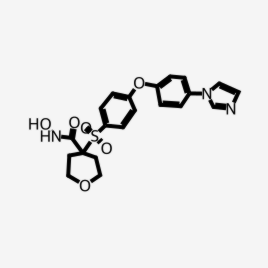 O=C(NO)C1(S(=O)(=O)c2ccc(Oc3ccc(-n4ccnc4)cc3)cc2)CCOCC1